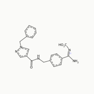 N/C(=N/C(=O)O)c1ccc(CNC(=O)c2cnn(Cc3ccccc3)c2)cc1